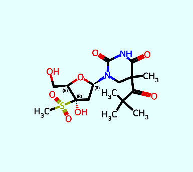 CC(C)(C)C(=O)C1(C)CN([C@H]2C[C@@](O)(S(C)(=O)=O)[C@@H](CO)O2)C(=O)NC1=O